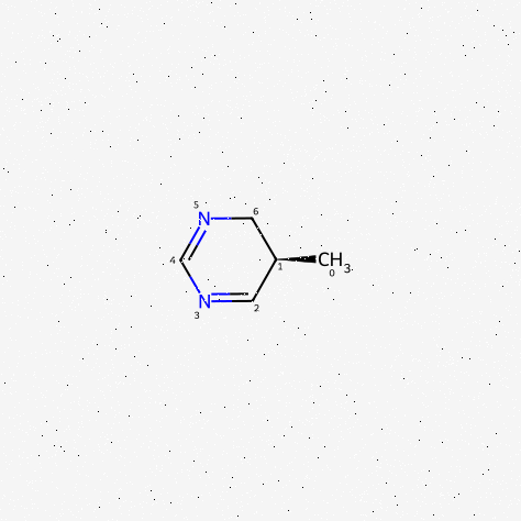 C[C@H]1C=NC=NC1